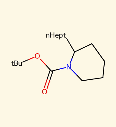 CCCCCCCC1CCCCN1C(=O)OC(C)(C)C